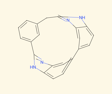 c1cc2cc(c1)-c1nc3cc(ccc3[nH]1)-c1ccc3[nH]c(nc3c1)C2